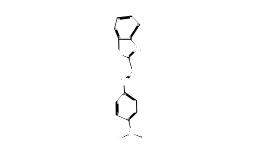 CCN(CC)c1ccc(N=Nc2nc3ccccc3s2)cc1